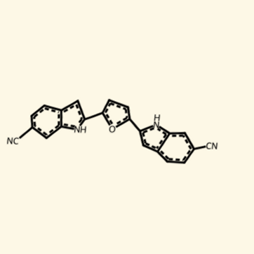 N#Cc1ccc2cc(-c3ccc(-c4cc5ccc(C#N)cc5[nH]4)o3)[nH]c2c1